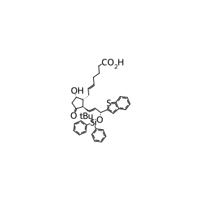 CC(C)(C)[Si](O[C@H](/C=C/[C@H]1C(=O)C[C@H](O)[C@@H]1C/C=C/CCCC(=O)O)c1cc2ccccc2s1)(c1ccccc1)c1ccccc1